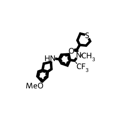 COc1ccc2c(c1)CC(Nc1ccc([C@H](N(C)C(=O)C3CCSCC3)C(F)(F)F)cc1)C2